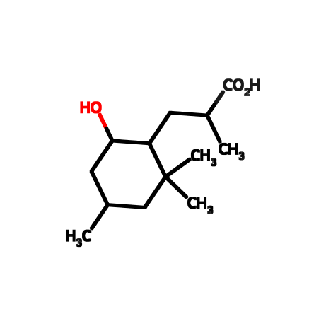 CC1CC(O)C(CC(C)C(=O)O)C(C)(C)C1